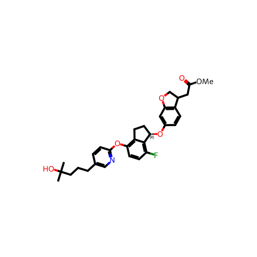 COC(=O)CC1COc2cc(O[C@@H]3CCc4c(Oc5ccc(CCCC(C)(C)O)cn5)ccc(F)c43)ccc21